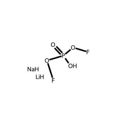 O=P(O)(OF)OF.[LiH].[NaH]